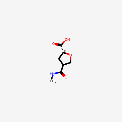 CNC(=O)C1CO[C@@H](C(=O)O)C1